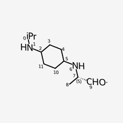 CC(C)NC1CCC(N[C@@H](C)[C]=O)CC1